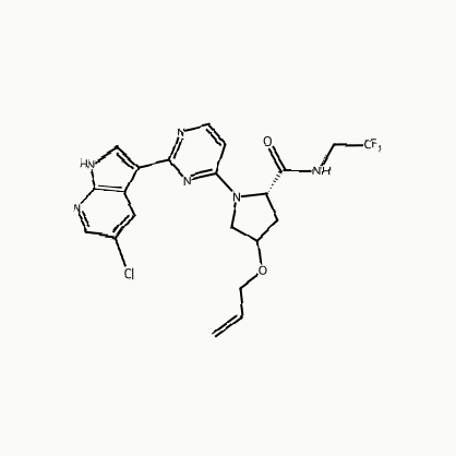 C=CCOC1C[C@@H](C(=O)NCC(F)(F)F)N(c2ccnc(-c3c[nH]c4ncc(Cl)cc34)n2)C1